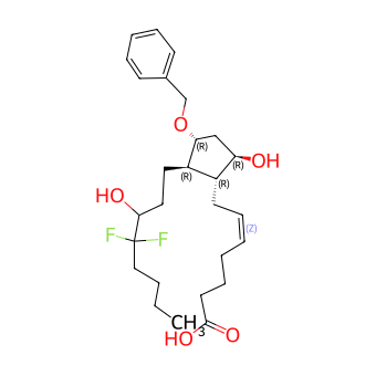 CCCCC(F)(F)C(O)CC[C@@H]1[C@@H](C/C=C\CCCC(=O)O)[C@H](O)C[C@H]1OCc1ccccc1